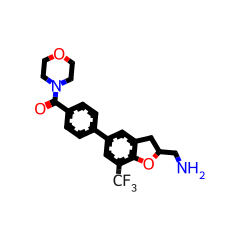 NCC1Cc2cc(-c3ccc(C(=O)N4CCOCC4)cc3)cc(C(F)(F)F)c2O1